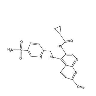 COc1ccc2c(NCc3ccc(S(N)(=O)=O)cn3)c(NC(=O)C3CC3)cnc2n1